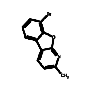 Cc1ccc2c(n1)oc1c(Br)cccc12